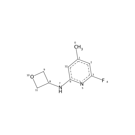 Cc1cc(F)nc(NC2COC2)c1